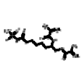 C=C(C)C(=O)OCC(CCCCCC(=O)N[SH](C)(=O)F)OC(=O)C(=C)C